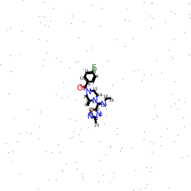 C=C1CN(C(=O)c2ccc(F)cc2)CCN1/C(=N\CC)c1nc(C)ns1